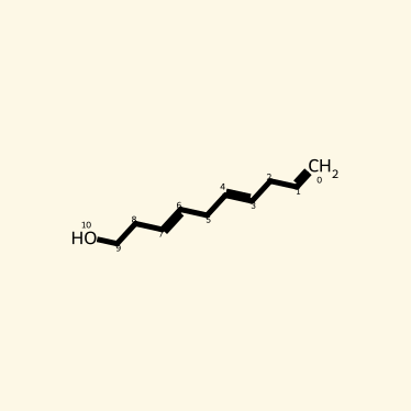 C=CC/C=C/C/C=C/CCO